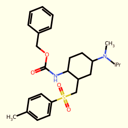 Cc1ccc(S(=O)(=O)CC2CC(N(C)C(C)C)CCC2NC(=O)OCc2ccccc2)cc1